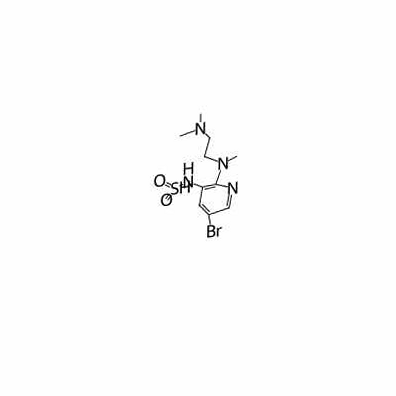 CN(C)CCN(C)c1ncc(Br)cc1N[SH](=O)=O